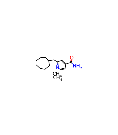 C.C.NC(=O)c1ccnc(C[C]2CCCCCCC2)c1